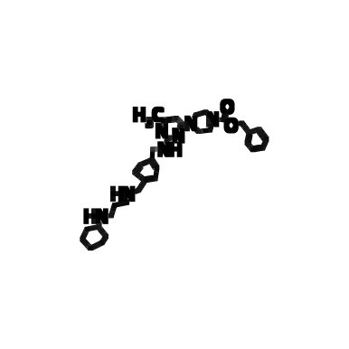 Cc1cc(N2CCN(C(=O)OCc3ccccc3)CC2)nc(NCc2ccc(CNCCCNC3CCCCC3)cc2)n1